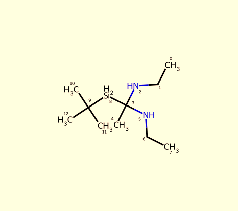 CCNC(C)(NCC)[SiH2]C(C)(C)C